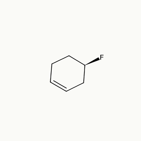 F[C@H]1CC=CCC1